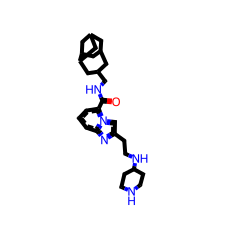 O=C(NCC1CC2CC3CC(C1)C(C2)C3)c1cccc2nc(CCNC3CCNCC3)cn12